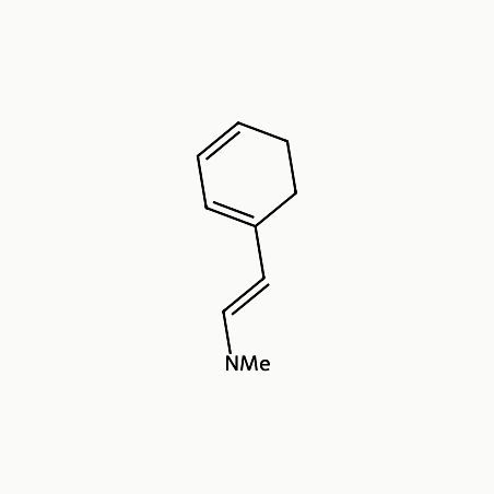 CN/C=C/C1=CC=CCC1